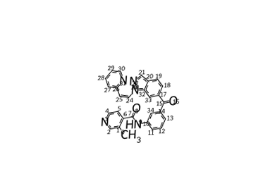 Cc1cnccc1C(=O)Nc1cccc(C(=O)c2ccc3cnn(C=Cc4ccccn4)c3c2)c1